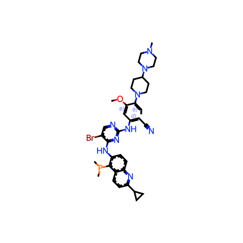 C\C=C(/C(=C\C(=C\C#N)Nc1ncc(Br)c(Nc2ccc3nc(C4CC4)ccc3c2P(C)C)n1)OC)N1CCC(N2CCN(C)CC2)CC1